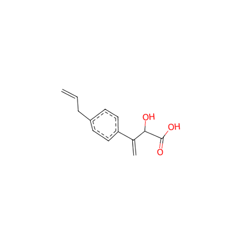 C=CCc1ccc(C(=C)C(O)C(=O)O)cc1